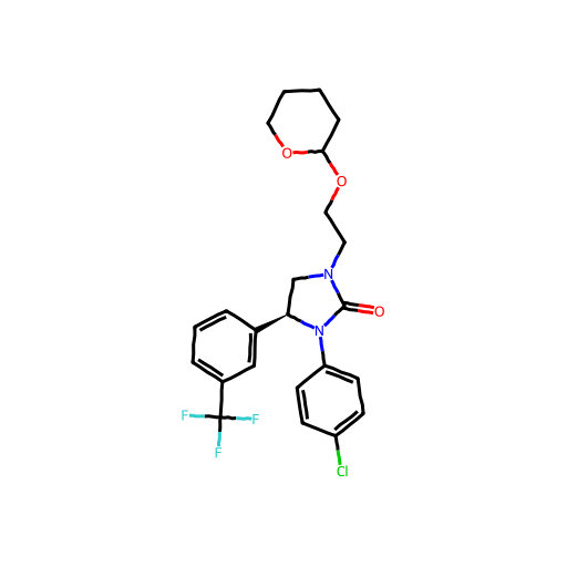 O=C1N(CCOC2CCCCO2)C[C@H](c2cccc(C(F)(F)F)c2)N1c1ccc(Cl)cc1